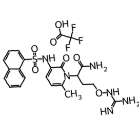 Cc1ccc(NS(=O)(=O)c2cccc3ccccc23)c(=O)n1C(CCONC(=N)N)C(N)=O.O=C(O)C(F)(F)F